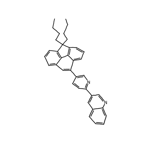 CCCCC1(CCCC)c2cccc3cc(-c4ccc(-c5cnc6ccccc6c5)nc4)c4cccc1c4c23